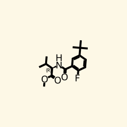 COC(=O)[C@H](NC(=O)c1cc(C(C)(C)C)ccc1F)C(C)C